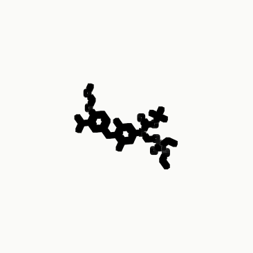 CCOP(=O)(CC)OCN(C(=O)OC(C)(C)C)c1cc(C)c(Cc2ccc(OCOC)c(C(C)C)c2)c(C)c1